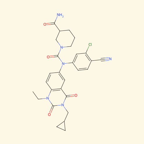 CCn1c(=O)n(CC2CC2)c(=O)c2cc(N(C(=O)N3CCCC(C(N)=O)C3)c3ccc(C#N)c(Cl)c3)ccc21